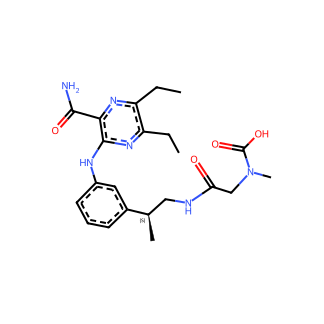 CCc1nc(Nc2cccc([C@H](C)CNC(=O)CN(C)C(=O)O)c2)c(C(N)=O)nc1CC